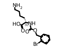 NCCCC[C@H](NC(=O)OCc1ccccc1Br)C(=O)O